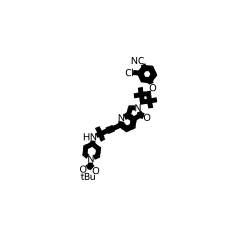 CC(C)(C#Cc1ccc2c(n1)CN([C@H]1C(C)(C)[C@H](Oc3ccc(C#N)c(Cl)c3)C1(C)C)C2=O)NC1CCN(C(=O)OC(C)(C)C)CC1